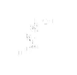 O=C(O)CC1[C@H]2CN(c3nnc(-c4cnc(NCCc5ccc(Cl)cc5)nc4)o3)C[C@@H]12